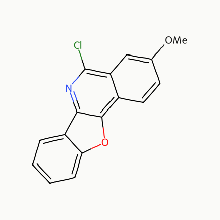 COc1ccc2c(c1)c(Cl)nc1c3ccccc3oc21